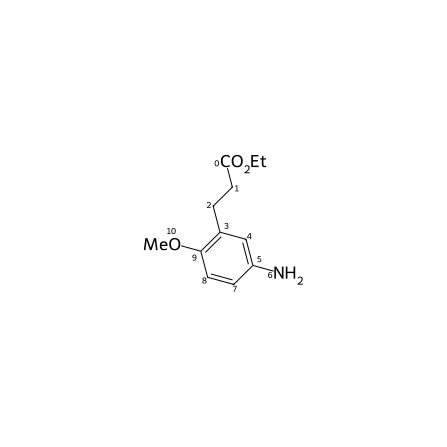 CCOC(=O)CCc1cc(N)ccc1OC